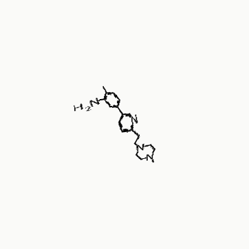 Cc1ccc(-c2ccc(CCN3CCN(C)CC3)nc2)cc1N